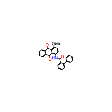 COc1ccc(NC(=O)c2ccccc2-c2ccccc2)c2c1C(=O)c1ccccc1C2=O